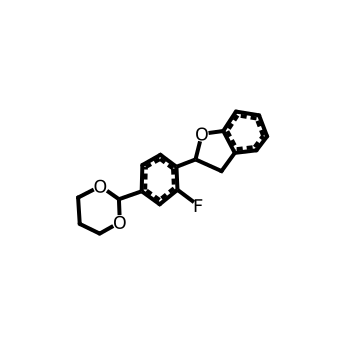 Fc1cc(C2OCCCO2)ccc1C1Cc2ccccc2O1